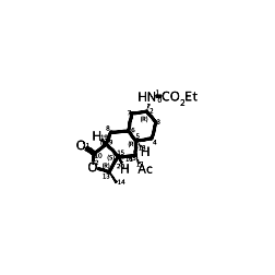 CCOC(=O)N[C@@H]1CC[C@@H]2C(C1)C[C@H]1C(=O)O[C@H](C)[C@H]1[C@H]2C(C)=O